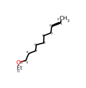 CC=CCCCCCCCOCC